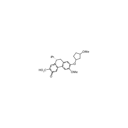 COc1cc2c(cc1OC1CCC(OC)C1)C[C@@H](C(C)C)n1cc(C(=O)O)c(=O)cc1-2